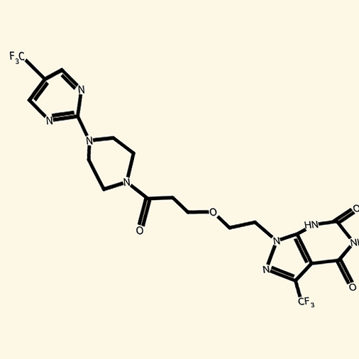 O=C(CCOCCn1nc(C(F)(F)F)c2c(=O)[nH]c(=O)[nH]c21)N1CCN(c2ncc(C(F)(F)F)cn2)CC1